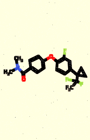 CN(C)C(=O)c1ccc(Oc2ccc(C3(C(F)(F)C(F)(F)F)CC3)cc2F)cc1